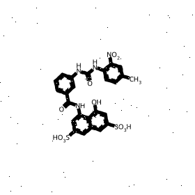 Cc1ccc(NC(=O)Nc2cccc(C(=O)Nc3cc(S(=O)(=O)O)cc4cc(S(=O)(=O)O)cc(O)c34)c2)c([N+](=O)[O-])c1